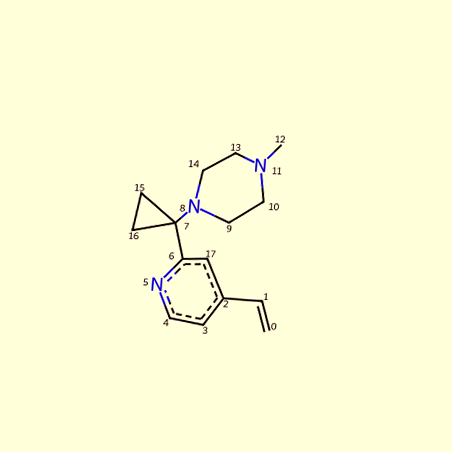 C=Cc1ccnc(C2(N3CCN(C)CC3)CC2)c1